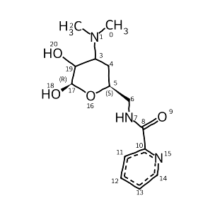 CN(C)C1C[C@@H](CNC(=O)c2ccccn2)O[C@@H](O)C1O